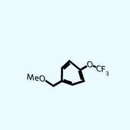 [CH2]OCc1ccc(OC(F)(F)F)cc1